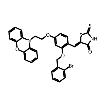 O=C1NC(=S)S/C1=C\c1ccc(OCCN2c3ccccc3Oc3ccccc32)cc1OCc1ccccc1Br